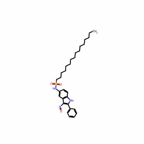 CCCCCCCCCCCCCCCCS(=O)(=O)Nc1ccc2[nH]c(-c3ccccc3)c(N=O)c2c1